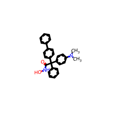 CN(C)c1ccc(C(C(=O)NO)(c2ccccc2)c2ccc(-c3ccccc3)cc2)cc1